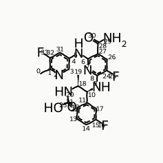 Cc1ncc(Nc2nc(N[C@@H](c3cccc(F)c3)[C@H](C)NC(=O)O)c(F)cc2C(N)=O)cc1F